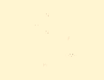 COc1ccc([C@]2(c3cccc(Br)c3)COC(N)=N2)cc1F